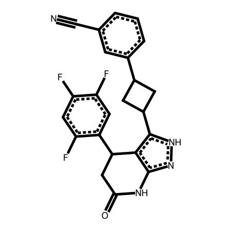 N#Cc1cccc(C2CC(c3[nH]nc4c3C(c3cc(F)c(F)cc3F)CC(=O)N4)C2)c1